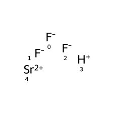 [F-].[F-].[F-].[H+].[Sr+2]